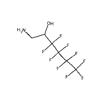 NCC(O)C(F)(F)C(F)(F)C(F)(F)C(F)(F)F